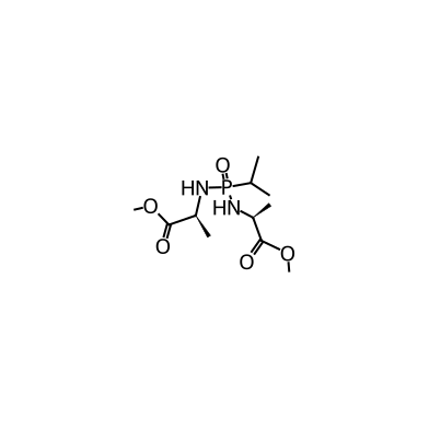 COC(=O)[C@H](C)NP(=O)(N[C@@H](C)C(=O)OC)C(C)C